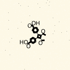 CC(=O)[C@H]1[C@H](C(C)=O)[C@@H](c2ccc(C(=O)O)cc2)[C@@H]1c1ccc(C(=O)O)cc1